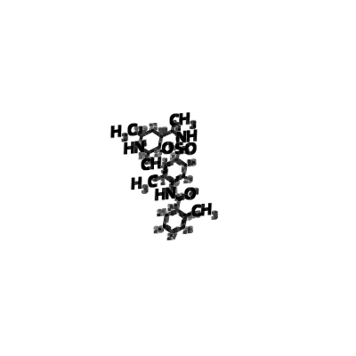 Cc1cc(S(=O)(=O)NC(C)C2CC(C)NC(C)C2)ccc1NC(=O)c1ccccc1C